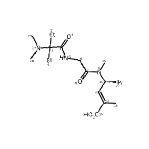 CCC(CC)(C(=O)NCC(=O)N(C)[C@H](/C=C(\C)C(=O)O)C(C)C)N(C)C